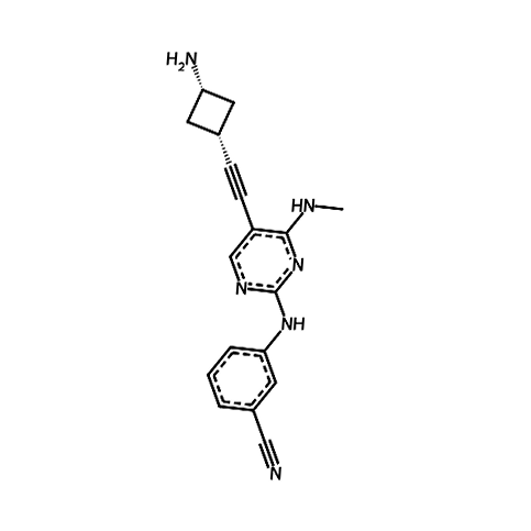 CNc1nc(Nc2cccc(C#N)c2)ncc1C#C[C@H]1C[C@@H](N)C1